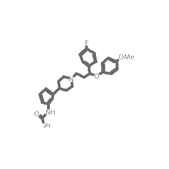 COc1ccc(OC(CCN2CCC(c3cccc(NC(=O)C(C)C)c3)CC2)c2ccc(F)cc2)cc1